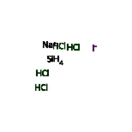 Cl.Cl.Cl.Cl.[I-].[Na+].[SiH4]